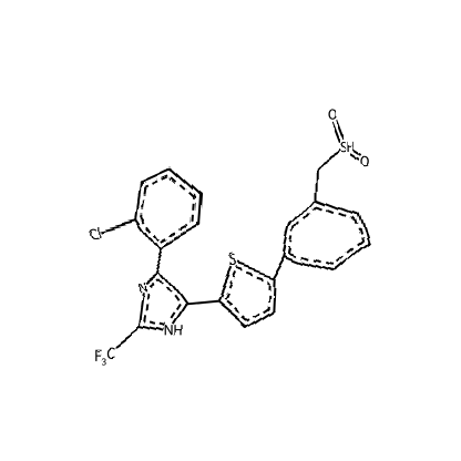 O=[SH](=O)Cc1cccc(-c2ccc(-c3[nH]c(C(F)(F)F)nc3-c3ccccc3Cl)s2)c1